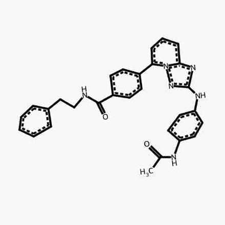 CC(=O)Nc1ccc(Nc2nc3cccc(-c4ccc(C(=O)NCCc5ccccc5)cc4)n3n2)cc1